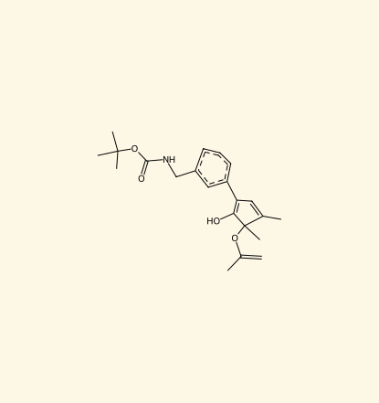 C=C(C)OC1(C)C(C)=CC(c2cccc(CNC(=O)OC(C)(C)C)c2)=C1O